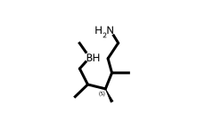 CBCC(C)[C@H](C)C(C)CCN